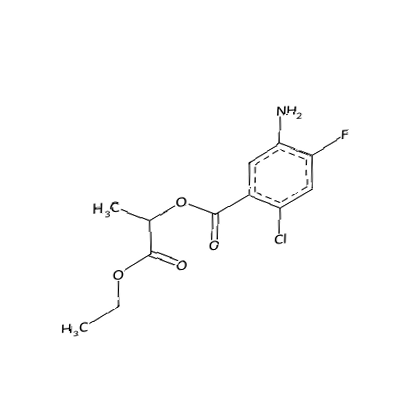 CCOC(=O)C(C)OC(=O)c1cc(N)c(F)cc1Cl